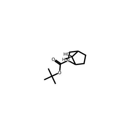 CC(C)(C)OC(=O)N1CC2CCC1[C@@H]2O